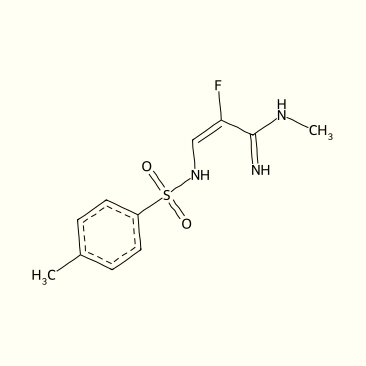 CNC(=N)/C(F)=C\NS(=O)(=O)c1ccc(C)cc1